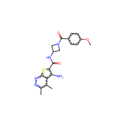 COc1ccc(C(=O)N2CC(NC(=O)c3sc4nnc(C)c(C)c4c3N)C2)cc1